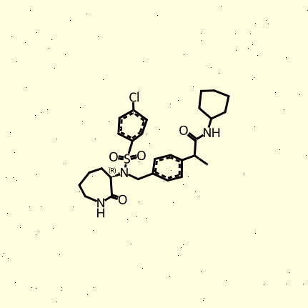 CC(C(=O)NC1CCCCC1)c1ccc(CN([C@@H]2CCCCNC2=O)S(=O)(=O)c2ccc(Cl)cc2)cc1